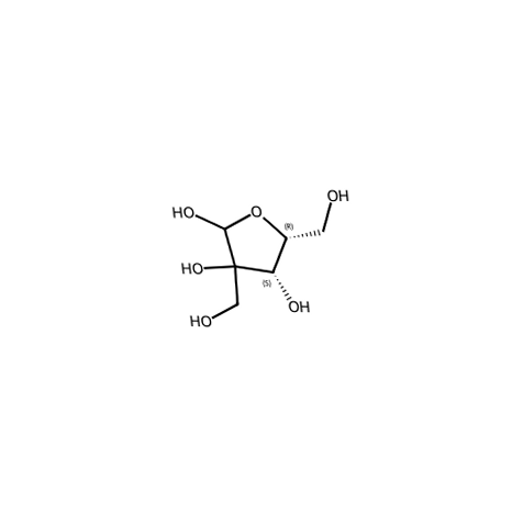 OC[C@H]1OC(O)C(O)(CO)[C@H]1O